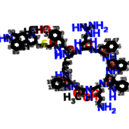 C[C@@H](O)[C@@H]1NC(=O)[C@H](CCCCN)NC(=O)[C@@H](Cc2c[nH]c3ccccc23)NC(=O)[C@H](Cc2ccccc2)NC(=O)[C@H](Cc2ccccc2)NC(=O)[C@H](CCCNC(=N)N)NC(=O)[C@@H](NC[C@H](Cc2ccc(O)cc2)NC(=O)CSC[C@@H]2C[C@@H]3c4cccc5[nH]cc(c45)C[C@H]3N(C)C2)CCCNC(=O)[C@H](Cc2ccccc2)NC1=O